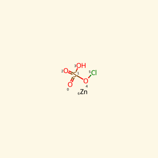 O=S(=O)(O)OCl.[Zn]